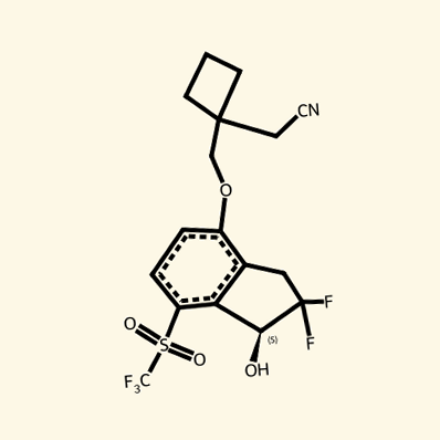 N#CCC1(COc2ccc(S(=O)(=O)C(F)(F)F)c3c2CC(F)(F)[C@H]3O)CCC1